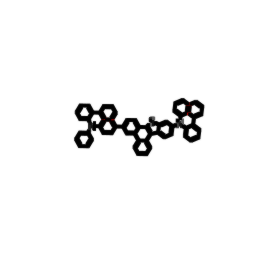 c1ccc(-c2ccccc2N(c2ccccc2)c2ccc(-c3ccc4c(c3)c3ccccc3c3c5ccc(N(c6ccccc6)c6ccccc6-c6ccccc6)cc5sc43)cc2)cc1